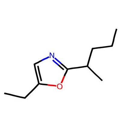 CCCC(C)c1ncc(CC)o1